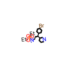 CCOP(=O)(OCC)N(C)CC=C(c1ccc(Br)cc1)c1cccnc1